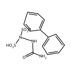 NC(=O)NN(S(=O)(=O)O)S(=O)(=O)O.c1ccc(-c2ccccc2)cc1